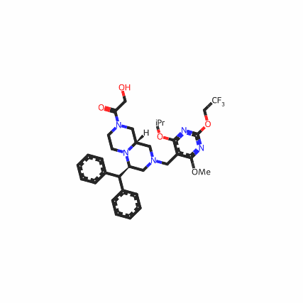 COc1nc(OCC(F)(F)F)nc(OC(C)C)c1CN1C[C@H]2CN(C(=O)CO)CCN2[C@H](C(c2ccccc2)c2ccccc2)C1